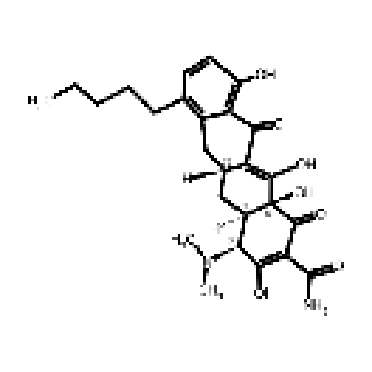 CCCCCc1ccc(O)c2c1C[C@H]1C[C@@H]3[C@H](N(C)C)C(O)=C(C(N)=O)C(=O)[C@@]3(O)C(O)=C1C2=O